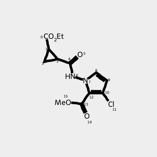 CCOC(=O)C1CC1C(=O)Nn1ccc(Cl)c1C(=O)OC